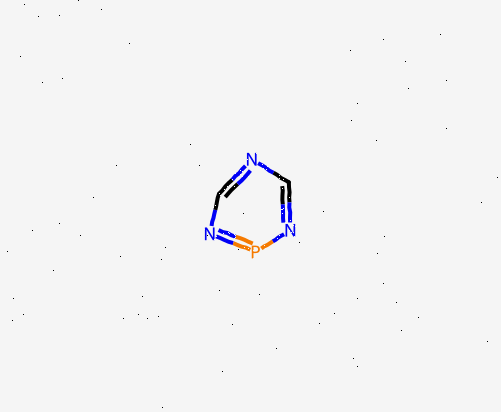 c1ncnpn1